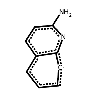 Nc1ccc2ccc[c]c2n1